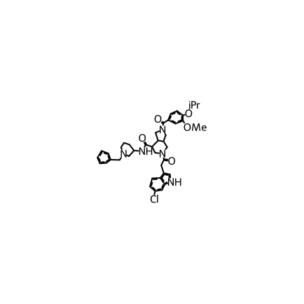 COc1cc(C(=O)N2CC3CN(C(=O)Cc4c[nH]c5cc(Cl)ccc45)CC(C(=O)NC4CCCN(Cc5ccccc5)C4)C3C2)ccc1OC(C)C